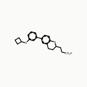 O=C(O)CCC1CCc2cc(-c3cccc(OC4CCC4)c3)ccc2O1